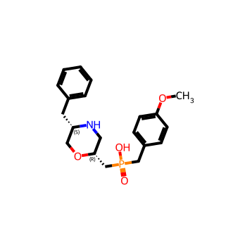 COc1ccc(CP(=O)(O)C[C@H]2CN[C@@H](Cc3ccccc3)CO2)cc1